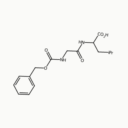 CC(C)CC(NC(=O)CNC(=O)OCc1ccccc1)C(=O)O